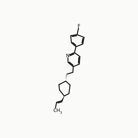 C/C=C/[C@H]1CC[C@H](CCc2ccc(-c3ccc(F)cc3)nc2)CC1